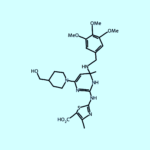 COc1cc(CNC2(C)C=C(N3CCC(CO)CC3)N=C(Nc3nc(C)c(C(=O)O)s3)N2)cc(OC)c1OC